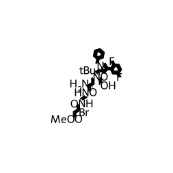 COC(=O)CC(Br)C(=O)NCCNC(=O)[C@@H](N)CCN(C(=O)CO)[C@@H](c1cc(-c2cc(F)ccc2F)cn1Cc1ccccc1)C(C)(C)C